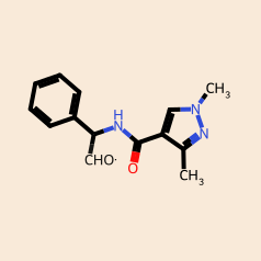 Cc1nn(C)cc1C(=O)NC([C]=O)c1ccccc1